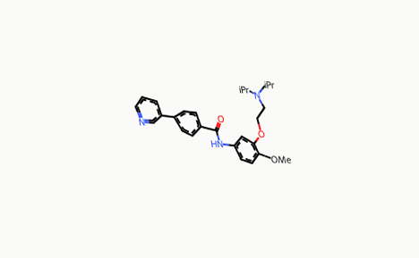 COc1ccc(NC(=O)c2ccc(-c3cccnc3)cc2)cc1OCCN(C(C)C)C(C)C